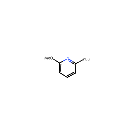 CCCCc1cccc(OC)n1